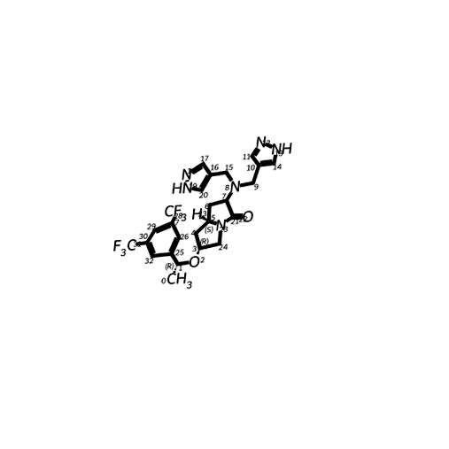 C[C@@H](O[C@@H]1C[C@@H]2CC(N(Cc3cn[nH]c3)Cc3cn[nH]c3)C(=O)N2C1)c1cc(C(F)(F)F)cc(C(F)(F)F)c1